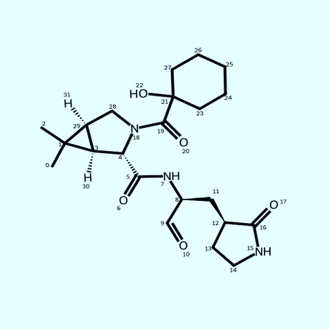 CC1(C)[C@@H]2[C@@H](C(=O)N[C@H](C=O)C[C@@H]3CCNC3=O)N(C(=O)C3(O)CCCCC3)C[C@@H]21